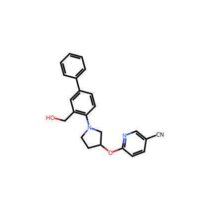 N#Cc1ccc(OC2CCN(c3ccc(-c4ccccc4)cc3CO)C2)nc1